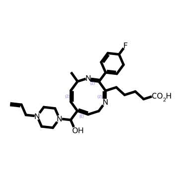 C=CCN1CCN(C(O)C2=C/C/N=C(CCCCC(=O)O)\C(C3=CCC(F)C=C3)=N/C(C)/C=C\2)CC1